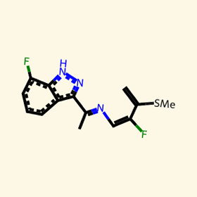 C=C(SC)/C(F)=C\N=C(/C)c1n[nH]c2c(F)cccc12